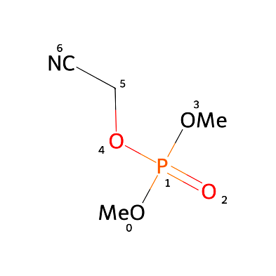 COP(=O)(OC)OCC#N